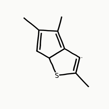 CC1=[C]C2=C(C)C(C)=CC2S1